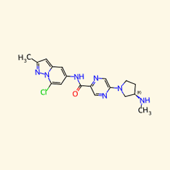 CN[C@@H]1CCN(c2cnc(C(=O)Nc3cc(Cl)n4nc(C)cc4c3)cn2)C1